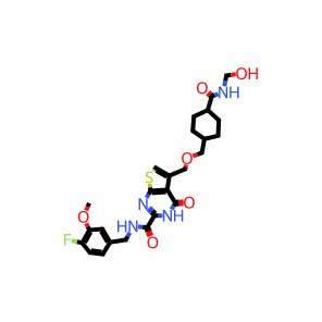 COc1cc(CNC(=O)c2nc3scc(COCC4CCC(C(=O)NCO)CC4)c3c(=O)[nH]2)ccc1F